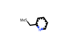 CSCc1cc[c]cn1